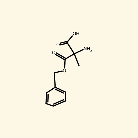 CC(N)(C(=O)O)C(=O)OCc1ccccc1